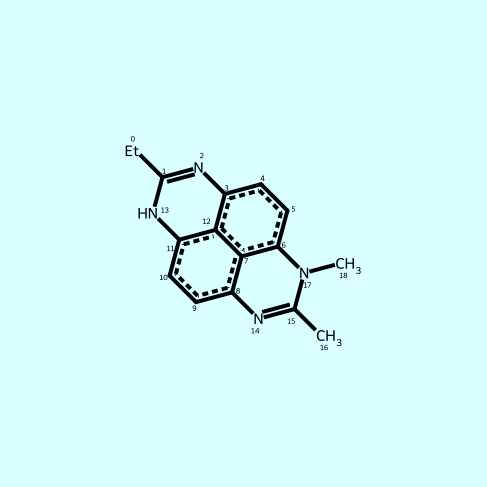 CCC1=Nc2ccc3c4c(ccc(c24)N1)N=C(C)N3C